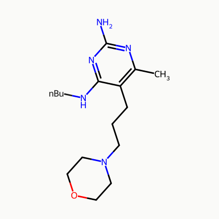 CCCCNc1nc(N)nc(C)c1CCCN1CCOCC1